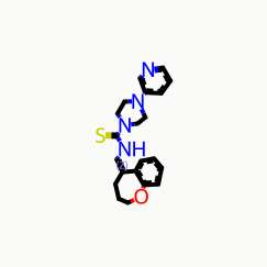 S=C(N/C=C1/CCCOc2ccccc21)N1CCN(c2cccnc2)CC1